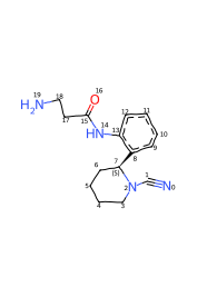 N#CN1CCCC[C@H]1c1ccccc1NC(=O)CCN